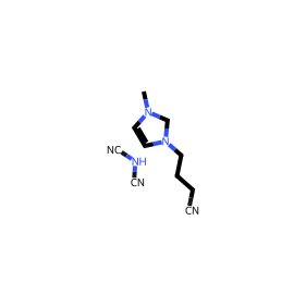 CN1C=CN(CCCC#N)C1.N#CNC#N